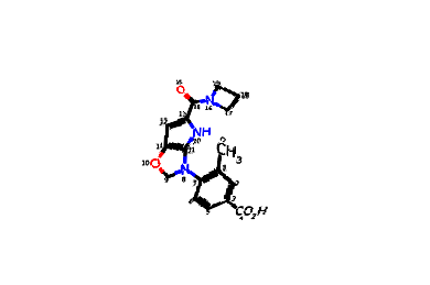 Cc1cc(C(=O)O)ccc1N1COc2cc(C(=O)N3CCC3)[nH]c21